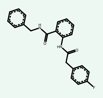 O=C(Cc1ccc(F)cc1)Nc1ccccc1C(=O)NCc1ccccc1